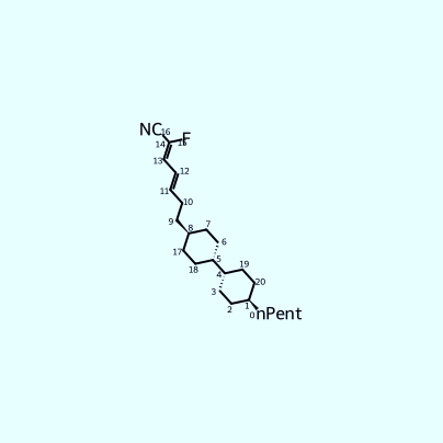 CCCCC[C@H]1CC[C@H]([C@H]2CC[C@H](CCC=CC=C(F)C#N)CC2)CC1